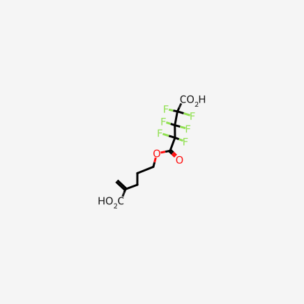 C=C(CCCOC(=O)C(F)(F)C(F)(F)C(F)(F)C(=O)O)C(=O)O